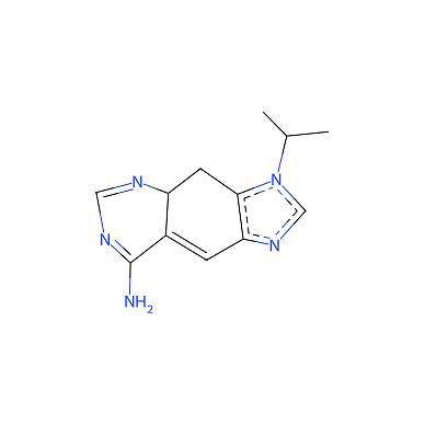 CC(C)n1cnc2c1CC1N=CN=C(N)C1=C2